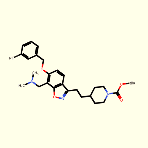 CN(C)Cc1c(OCc2cccc(C#N)c2)ccc2c(CCC3CCN(C(=O)OC(C)(C)C)CC3)noc12